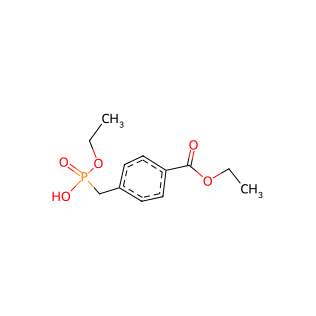 CCOC(=O)c1ccc(CP(=O)(O)OCC)cc1